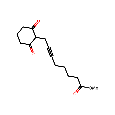 COC(=O)CCCCC#CCC1C(=O)CCCC1=O